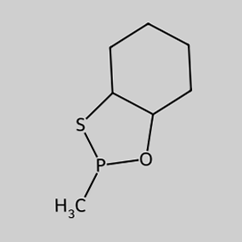 CP1OC2CCCCC2S1